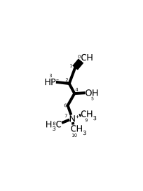 C#CC([PH-])C(O)C[N+](C)(C)C